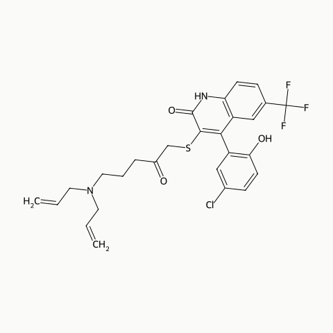 C=CCN(CC=C)CCCC(=O)CSc1c(-c2cc(Cl)ccc2O)c2cc(C(F)(F)F)ccc2[nH]c1=O